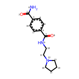 NC(=O)c1ccc(C(=O)NCCN2CCCC2)cc1